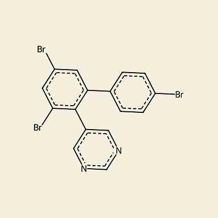 Brc1ccc(-c2cc(Br)cc(Br)c2-c2cncnc2)cc1